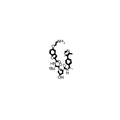 Cc1ncsc1-c1ccc([C@H](C)NC(=O)[C@@H]2C[C@@H](O)CN2C(=O)[C@@H](NC(=O)c2cc3cc(OCCN)ccc3o2)C(C)(C)C)cc1